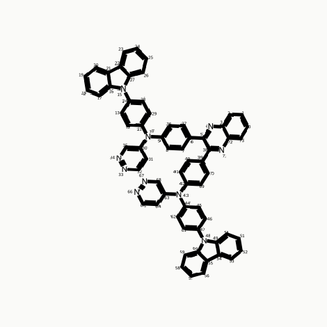 c1ccc2nc(-c3ccc(N(c4ccc(-n5c6ccccc6c6ccccc65)cc4)c4ccnnc4)cc3)c(-c3ccc(N(c4ccc(-n5c6ccccc6c6ccccc65)cc4)c4ccnnc4)cc3)nc2c1